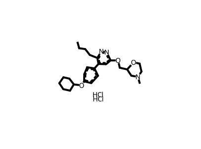 CCCCc1nnc(OCC2CN(C)CCO2)cc1-c1ccc(OC2CCCCC2)cc1.Cl.Cl